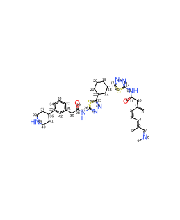 C=C(\C=C/C=C(C)/C=N\C)CC(=O)Nc1nnc([C@H]2CCC[C@H](c3nnc(NC(=O)Cc4cccc(C5CCNCC5)c4)s3)C2)s1